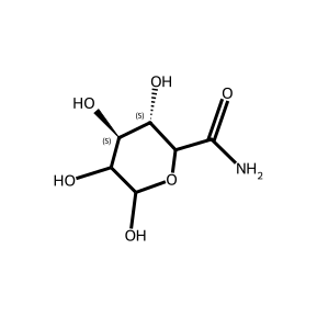 NC(=O)C1OC(O)C(O)[C@@H](O)[C@@H]1O